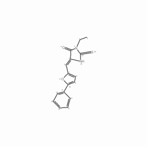 CCN1C(=O)/C(=C/c2ccc(-c3ccccc3)o2)NC1=S